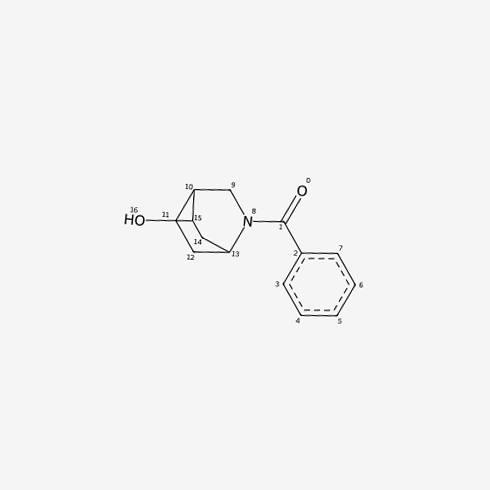 O=C(c1ccccc1)N1CC2CCC1CC2O